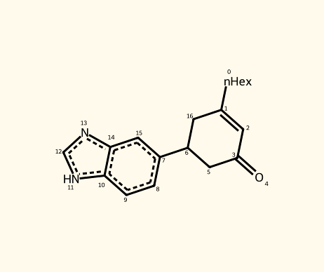 CCCCCCC1=CC(=O)CC(c2ccc3[nH]cnc3c2)C1